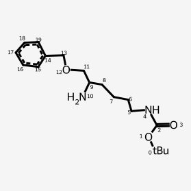 CC(C)(C)OC(=O)NCCCCC(N)COCc1ccccc1